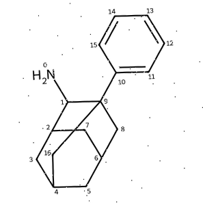 NC1C2CC3CC(C2)CC1(c1ccccc1)C3